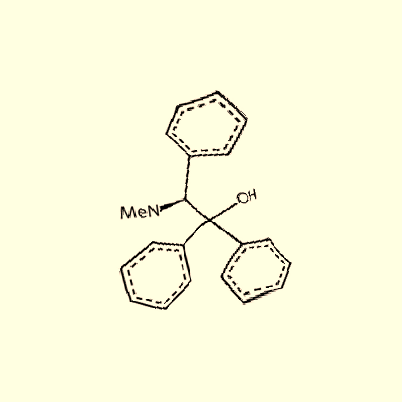 CN[C@@H](c1ccccc1)C(O)(c1ccccc1)c1ccccc1